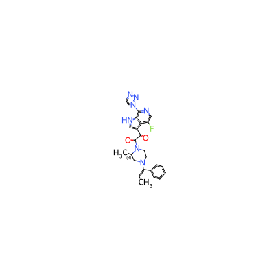 CC=C(c1ccccc1)N1CCN(C(=O)C(=O)c2c[nH]c3c(-n4ccnn4)ncc(F)c23)[C@H](C)C1